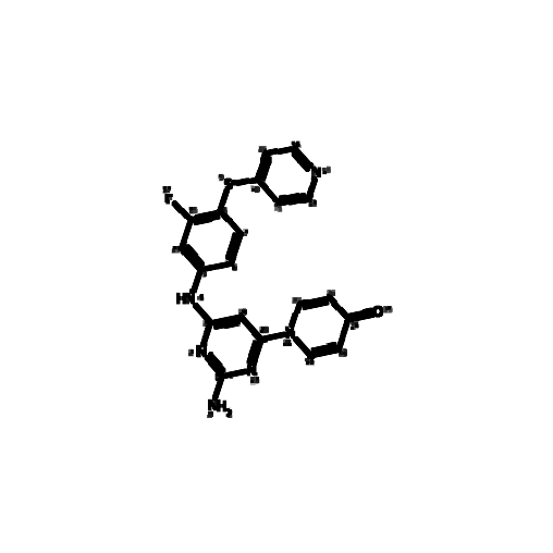 Nc1nc(Nc2ccc(Sc3ccncc3)c(F)c2)cc(-n2ccc(=O)cc2)n1